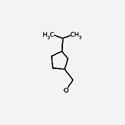 CC(C)C1CCC(C[O])C1